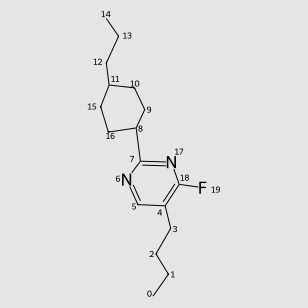 CCCCc1cnc(C2CCC(CCC)CC2)nc1F